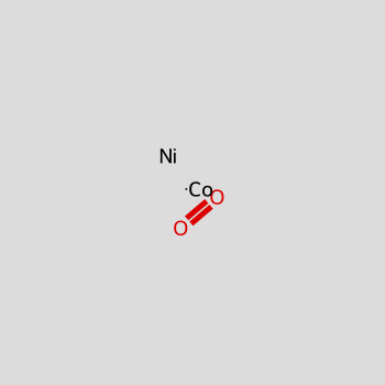 O=O.[Co].[Ni]